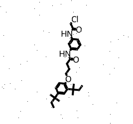 CCC(C)(C)c1ccc(OCCCC(=O)Nc2cccc(NC(=O)CCl)c2)c(C(C)(C)CC)c1